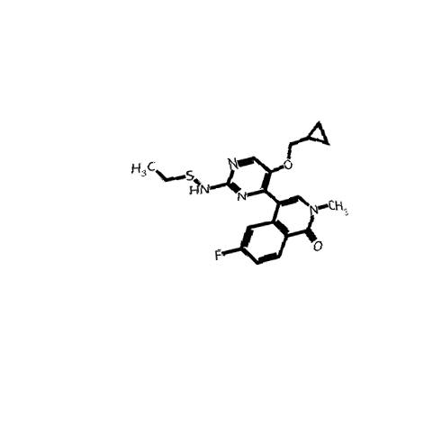 CCSNc1ncc(OCC2CC2)c(-c2cn(C)c(=O)c3ccc(F)cc23)n1